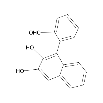 O=Cc1ccccc1-c1c(O)c(O)cc2ccccc12